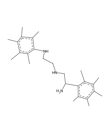 Cc1c(C)c(C)c(NCCNCC(N)c2c(C)c(C)c(C)c(C)c2C)c(C)c1C